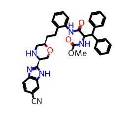 COC(=O)NC(C(=O)Nc1ccccc1CC[C@@H]1CN[C@H](c2nc3ccc(C#N)cc3[nH]2)CO1)C(c1ccccc1)c1ccccc1